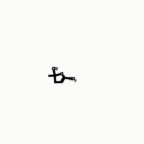 CC1(O)CC=C([N+](=O)[O-])O1